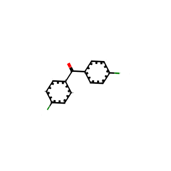 O=C(c1ccc(F)cc1)c1ccc(Cl)cc1